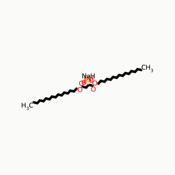 CCCCCCCCCCCCCCCCOC(=O)CC(C(=O)OCCCCCCCCCCCCCCCC)S(=O)(=O)O.[NaH]